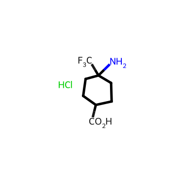 Cl.NC1(C(F)(F)F)CCC(C(=O)O)CC1